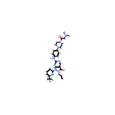 C=CCn1c(=O)c2cnc(Nc3ccc(N4CCN(C(=O)CN(C)C)CC4)cc3)nc2n1-c1cccc(C(C)(C)F)n1